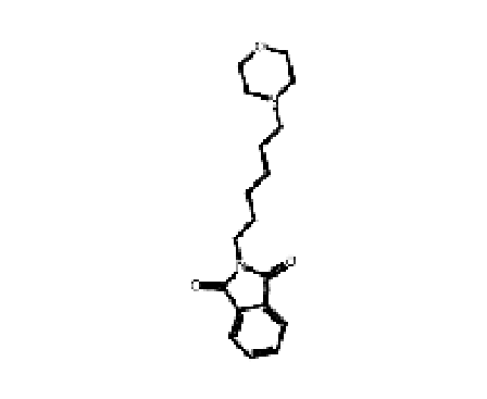 O=C1c2ccccc2C(=O)N1CCCCCCN1CCOCC1